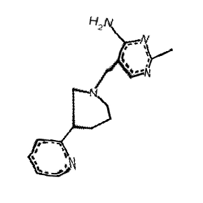 Cc1ncc(CN2CCCC(c3ccccn3)CC2)c(N)n1